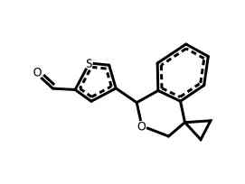 O=Cc1cc(C2OCC3(CC3)c3ccccc32)cs1